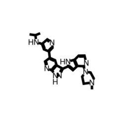 CC(C)Nc1cncc(-c2cnc3[nH]nc(-c4cc5c(N6CCN(C)CC6)nccc5[nH]4)c3c2)c1